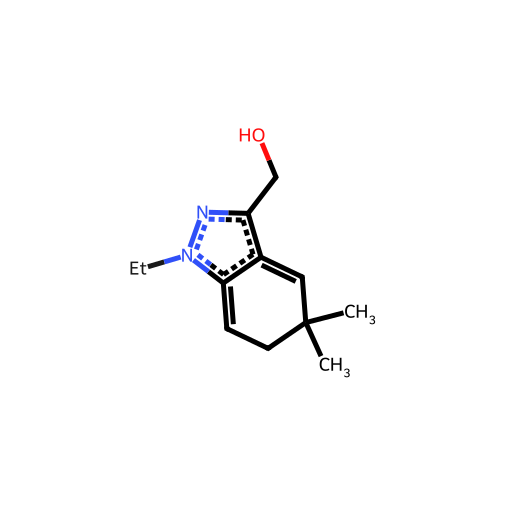 CCn1nc(CO)c2c1=CCC(C)(C)C=2